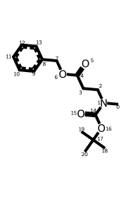 CN(CCC(=O)OCc1ccccc1)C(=O)OC(C)(C)C